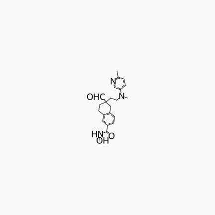 Cc1ccc(N(C)CC[C@@]2(C=O)CCc3cc(C(=O)NO)ccc3C2)cn1